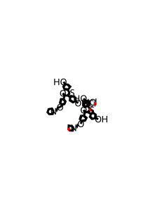 Cl.Cl.O=C(c1ccc(OCCN2CCCCC2)cc1)c1c(-c2ccc(O)cc2)sc2cc(O)ccc12.O=C(c1ccc(OCCN2CCCCC2)cc1)c1c(-c2ccc(O)cc2)sc2cc(O)ccc12